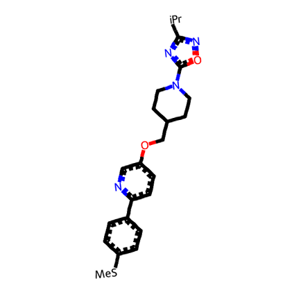 CSc1ccc(-c2ccc(OCC3CCN(c4nc(C(C)C)no4)CC3)cn2)cc1